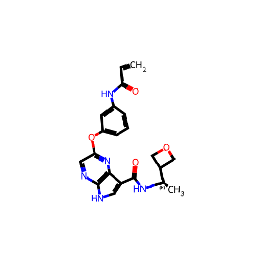 C=CC(=O)Nc1cccc(Oc2cnc3[nH]cc(C(=O)N[C@H](C)C4COC4)c3n2)c1